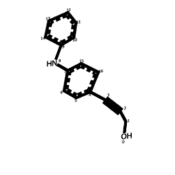 OCC#Cc1ccc(Nc2ccccc2)cc1